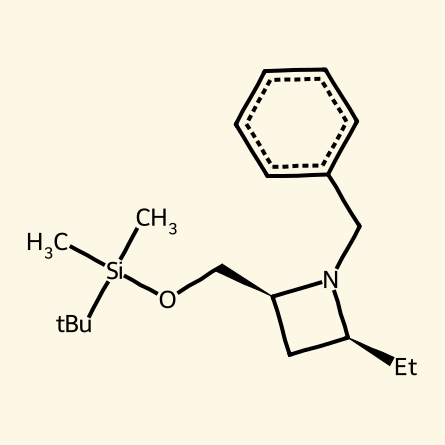 CC[C@H]1C[C@@H](CO[Si](C)(C)C(C)(C)C)N1Cc1ccccc1